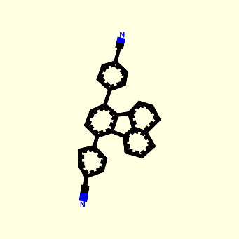 N#Cc1ccc(-c2ccc(-c3ccc(C#N)cc3)c3c2-c2cccc4cccc-3c24)cc1